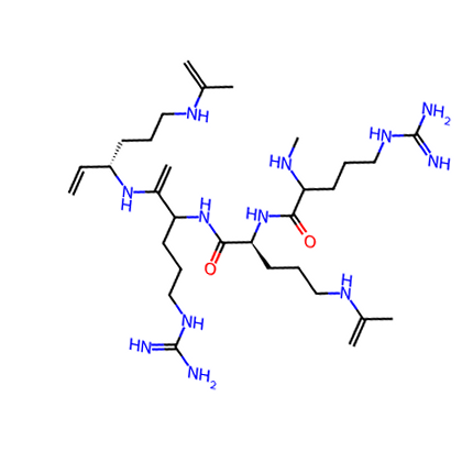 C=C[C@H](CCCNC(=C)C)NC(=C)C(CCCNC(=N)N)NC(=O)[C@H](CCCNC(=C)C)NC(=O)C(CCCNC(=N)N)NC